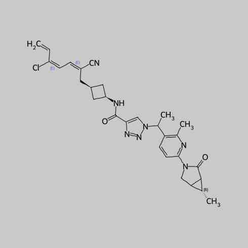 C=C/C(Cl)=C\C=C(\C#N)C[C@H]1C[C@@H](NC(=O)c2cn(C(C)c3ccc(N4CC5C(C4=O)[C@@H]5C)nc3C)nn2)C1